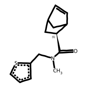 CN(Cc1cccs1)C(=O)[C@H]1CC2C=CC1C2